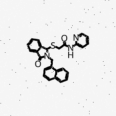 O=C(CSC1c2ccccc2C(=O)N1Cc1cccc2ccccc12)Nc1ccccn1